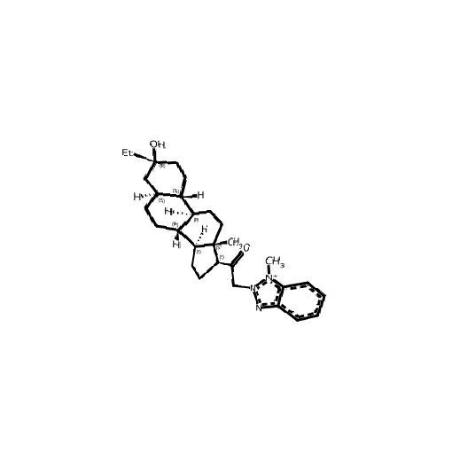 CC[C@@]1(O)CC[C@H]2[C@@H](CC[C@@H]3[C@@H]2CC[C@]2(C)[C@@H](C(=O)Cn4nc5ccccc5[n+]4C)CC[C@@H]32)C1